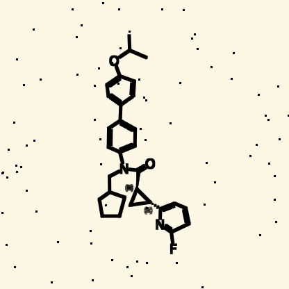 CC(C)Oc1ccc(-c2ccc(N(CC3CCCC3)C(=O)[C@@H]3C[C@H]3c3cccc(F)n3)cc2)cc1